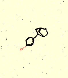 Oc1ccc(C2CC3CCC2C3)cc1